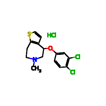 CN1CCc2sccc2C(Oc2ccc(Cl)c(Cl)c2)C1.Cl